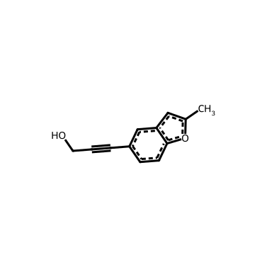 Cc1cc2cc(C#CCO)ccc2o1